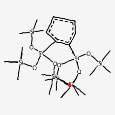 C[Si](C)(C)O[Si](O[Si](C)(C)C)(O[Si](C)(C)C)c1ccccc1[Si](O[Si](C)(C)C)(O[Si](C)(C)C)O[Si](C)(C)C